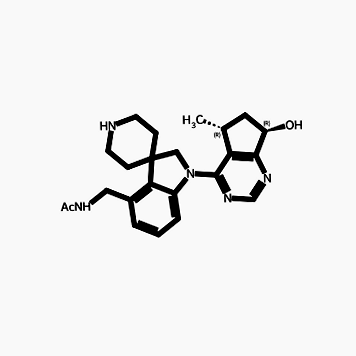 CC(=O)NCc1cccc2c1C1(CCNCC1)CN2c1ncnc2c1[C@H](C)C[C@H]2O